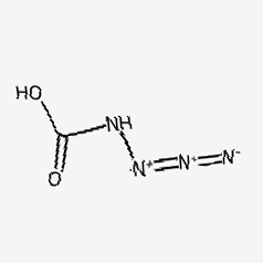 [N-]=[N+]=[N+]NC(=O)O